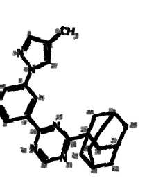 Cc1cnn(-c2cccc(-c3ncnc(C45CC6CC(CC(C6)C4)C5)n3)c2)c1